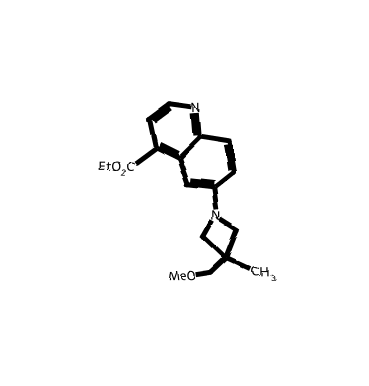 CCOC(=O)c1ccnc2ccc(N3CC(C)(COC)C3)cc12